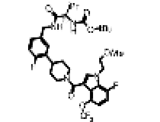 COCCn1cc(C(=O)N2CCC(c3cc(CNC(=O)[C@H](NC(=O)OC(C)(C)C)C(C)C)ccc3F)CC2)c2c(OC(F)(F)F)ccc(F)c21